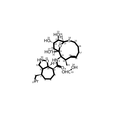 CC(C)C[C@@H]1CCC[C@H](C(=O)N[C@H]2[C@H]3O[C@H](SCCC/C=C/[C@H]2C)[C@H](O)[C@@H](O)[C@H]3O)[C@@H]2ONCC12.O=CO